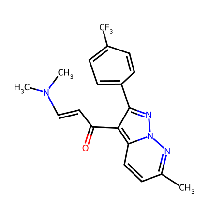 Cc1ccc2c(C(=O)C=CN(C)C)c(-c3ccc(C(F)(F)F)cc3)nn2n1